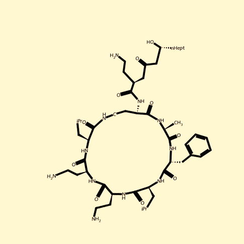 CCCCCCC[C@@H](O)CC(=O)C[C@H](CCN)C(=O)N[C@H]1CCNC(=O)[C@H](CC(C)C)NC(=O)[C@H](CCN)NC(=O)[C@H](CCN)NC(=O)[C@H](CC(C)C)NC(=O)[C@@H](Cc2ccccc2)NC(=O)[C@H](C)NC1=O